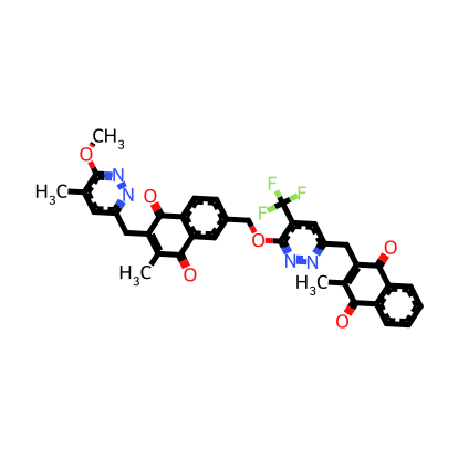 COc1nnc(CC2=C(C)C(=O)c3cc(COc4nnc(CC5=C(C)C(=O)c6ccccc6C5=O)cc4C(F)(F)F)ccc3C2=O)cc1C